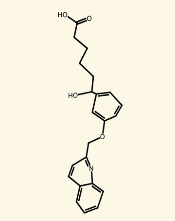 O=C(O)CCCCC(O)c1cccc(OCc2ccc3ccccc3n2)c1